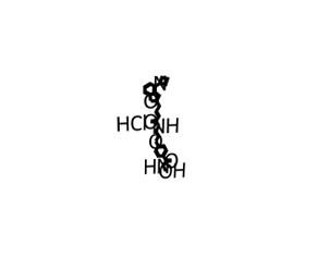 Cl.O=C(C=CCc1cc2c(N3CCC3)cccc2o1)NCCOc1ccc(C(=O)NO)cc1